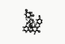 CC(C(=O)OCc1ccc(F)cc1)N(Oc1ccccc1)[PH](=O)OC[C@H]1O[C@@H](n2ccc(=O)[nH]c2=O)[C@](C)(F)[C@@H]1O